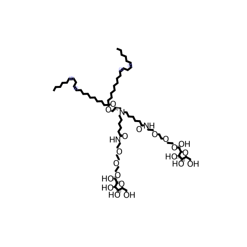 CCCCC/C=C\C/C=C\CCCCCCCCC1(CCCCCCCC/C=C\C/C=C\CCCCC)OC[C@H](CN(CCCCCC(=O)NCCOCCOCCO[C@@H](O)C2OC(CO)[C@@H](O)[C@@H]2O)CCCCCC(=O)NCCOCCOCCO[C@@H](O)[C@@H]2OC(CO)[C@@H](O)C2O)O1